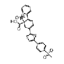 CS(=O)(=O)c1ccc(-c2csc(C3=CC=C(c4ccccc4)C(C(=O)O)([N+](=O)[O-])C3)n2)cc1